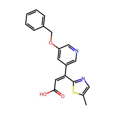 Cc1cnc(C(=CC(=O)O)c2cncc(OCc3ccccc3)c2)s1